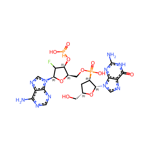 Nc1nc2c(ncn2[C@@H]2O[C@H](CO)C[C@H]2P(=O)(O)OC[C@H]2O[C@@H](n3cnc4c(N)ncnc43)C(F)[C@H]2O[PH](=O)O)c(=O)[nH]1